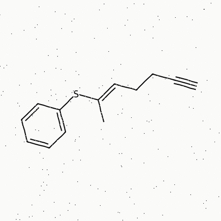 C#CCC/C=C(\C)Sc1ccccc1